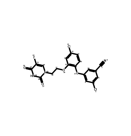 N#Cc1cc(Cl)cc(Oc2ccc(Cl)cc2OCCn2cc(F)c(=O)[nH]c2=O)c1